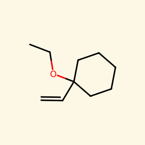 C=CC1(OCC)CCCCC1